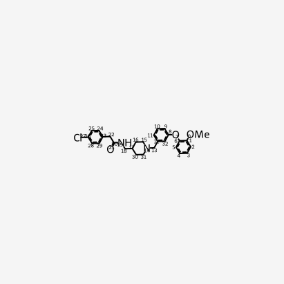 COc1ccccc1Oc1cccc(CN2CCC(CNC(=O)Cc3ccc(Cl)cc3)CC2)c1